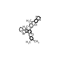 CC[C@@H]1CN(c2cc(=O)n(Cc3ccc(C)c(C)c3)c3c(Br)n(C4CCCCO4)nc23)[C@@H](C)CN1C(C)c1ccc2nccnc2c1